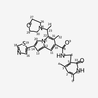 Cc1cc(C)c(CNC(=O)c2cc3cc(-c4cncs4)cn3c(C(C)N3CCOCC3)c2C)c(=O)[nH]1